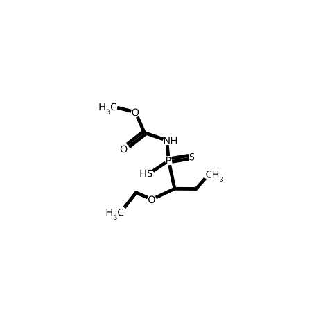 CCOC(CC)P(=S)(S)NC(=O)OC